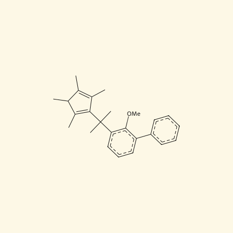 COc1c(-c2ccccc2)cccc1C(C)(C)C1=C(C)C(C)C(C)=C1C